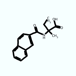 CCC(C)(NC(=O)c1ccc2ccccc2c1)C(=O)O